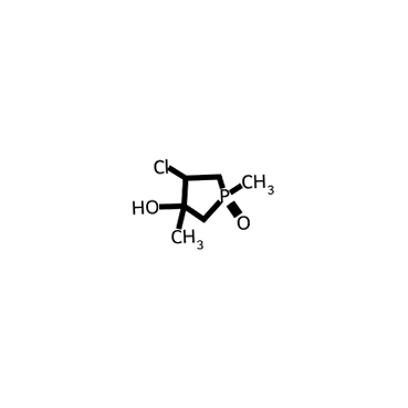 CC1(O)CP(C)(=O)CC1Cl